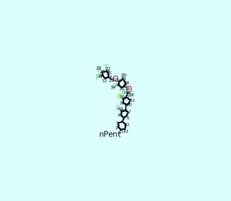 CCCCCc1ccc(-c2ccc(-c3ccc(C(F)(F)Oc4cc(F)c(OCc5cc(F)c(F)c(F)c5)c(F)c4)c(F)c3)c(F)c2)cc1